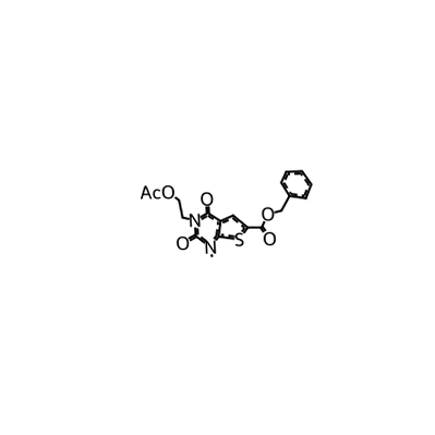 CC(=O)OCCn1c(=O)c2cc(C(=O)OCc3ccccc3)sc2n(C)c1=O